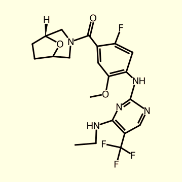 CCNc1nc(Nc2cc(F)c(C(=O)N3CC4CC[C@H](C3)O4)cc2OC)ncc1C(F)(F)F